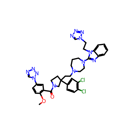 COc1ccc(-n2cnnn2)cc1C(=O)N1CCC(CCN2CCCN(c3nc4ccccc4n3CCn3cnnn3)CC2)(c2ccc(Cl)c(Cl)c2)C1